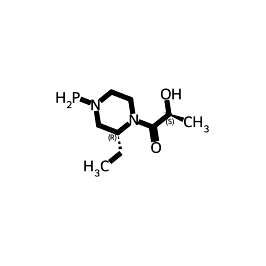 CC[C@@H]1CN(P)CCN1C(=O)[C@H](C)O